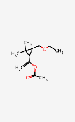 C=C(OC(C)=O)[C@@H]1[C@H](COCC)C1(C)C